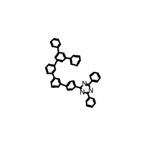 c1ccc(-c2cc(-c3ccccc3)cc(-c3cccc(-c4cccc(-c5ccc(-c6nc(-c7ccccc7)nc(-c7ccccc7)n6)cc5)c4)c3)c2)cc1